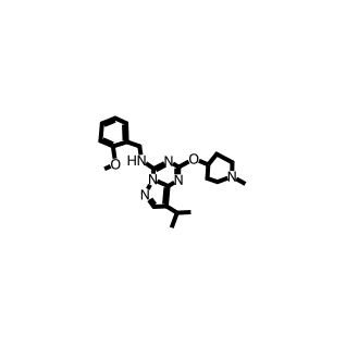 COc1ccccc1CNc1nc(OC2CCN(C)CC2)nc2c(C(C)C)cnn12